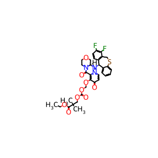 CCOC(=O)C(C)(C)COC(=O)OCOc1c2n(ccc1=O)N([C@@H]1c3ccccc3SCc3c1ccc(F)c3F)[C@@H]1COCCN1C2=O